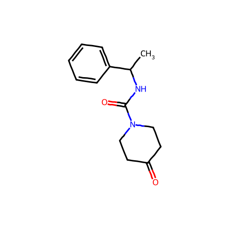 CC(NC(=O)N1CCC(=O)CC1)c1ccccc1